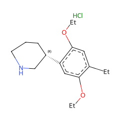 CCOc1cc([C@H]2CCCNC2)c(OCC)cc1CC.Cl